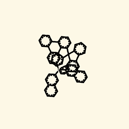 c1ccc(-c2cccc3c2-c2ccccc2C32c3ccccc3-c3ccc4ccccc4c32)c(-c2ccc(N(c3ccc4ccccc4c3)c3ccc4ccccc4c3)cc2)c1